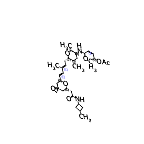 CC(=O)O[C@@H](C)/C=C\C(=O)N[C@@H]1C[C@H](C)[C@H](C/C=C(C)/C=C/[C@@H]2C[C@]3(CO3)C[C@@H](CC(=O)NC3CC(C)C3)O2)O[C@@H]1C